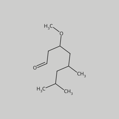 COC(CC=O)CC(C)CC(C)C